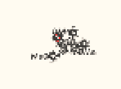 COCNC1(O)OC(COCc2ccc(OC)cc2)(COCc2ccc(OC)cc2)C(OCc2ccccc2)C(OCc2ccccc2)C1OCc1ccccc1